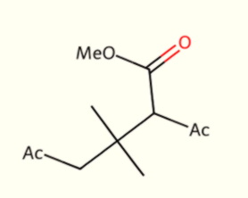 COC(=O)C(C(C)=O)C(C)(C)CC(C)=O